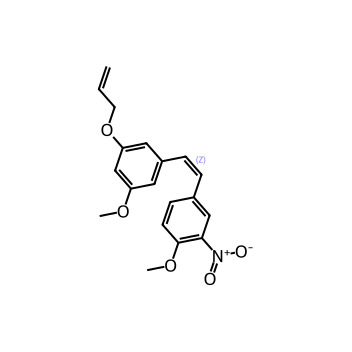 C=CCOc1cc(/C=C\c2ccc(OC)c([N+](=O)[O-])c2)cc(OC)c1